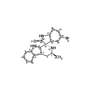 C[C@H]1Cc2c([nH]c3ccccc23)[C@@]2(N1)C(=O)Nc1ccc(Br)cc12